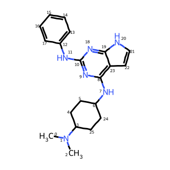 CN(C)C1CCC(Nc2nc(Nc3ccccc3)nc3[nH]ccc23)CC1